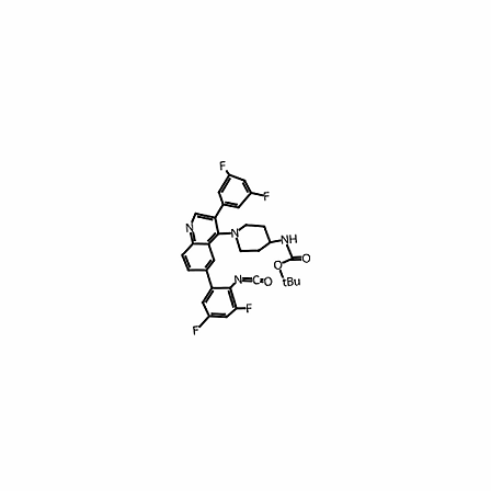 CC(C)(C)OC(=O)NC1CCN(c2c(-c3cc(F)cc(F)c3)cnc3ccc(-c4cc(F)cc(F)c4N=C=O)cc23)CC1